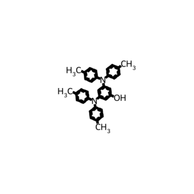 Cc1ccc(N(c2ccc(C)cc2)c2cc(O)cc(N(c3ccc(C)cc3)c3ccc(C)cc3)c2)cc1